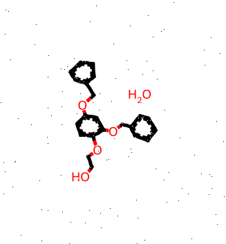 O.OCCOc1ccc(OCc2ccccc2)cc1OCc1ccccc1